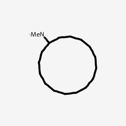 C[N]C1CCCCCCCCCCCCCCC1